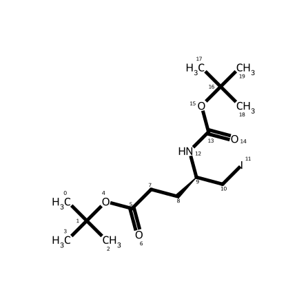 CC(C)(C)OC(=O)CC[C@H](CI)NC(=O)OC(C)(C)C